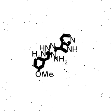 COc1cccc(CC2(N)NN=C(c3c[nH]c4ncccc34)N2N)c1